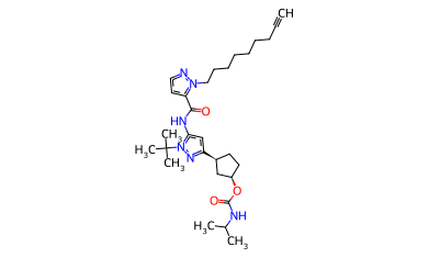 C#CCCCCCCCn1nccc1C(=O)Nc1cc([C@H]2CC[C@@H](OC(=O)NC(C)C)C2)nn1C(C)(C)C